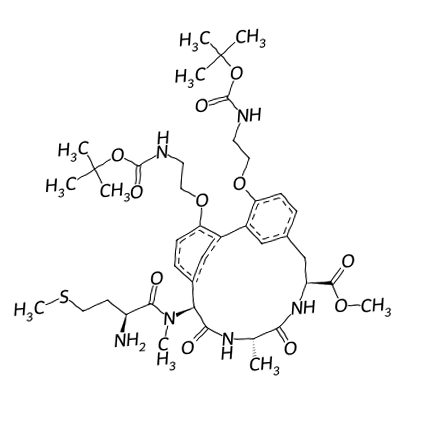 COC(=O)[C@@H]1Cc2ccc(OCCNC(=O)OC(C)(C)C)c(c2)-c2cc(ccc2OCCNC(=O)OC(C)(C)C)[C@H](N(C)C(=O)[C@@H](N)CCSC)C(=O)N[C@@H](C)C(=O)N1